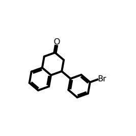 O=C1Cc2ccccc2C(c2cccc(Br)c2)C1